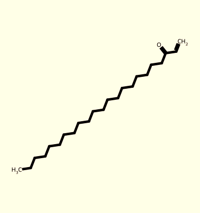 C=CC(=O)CCCCCCCCCCCCCCCCCCCC